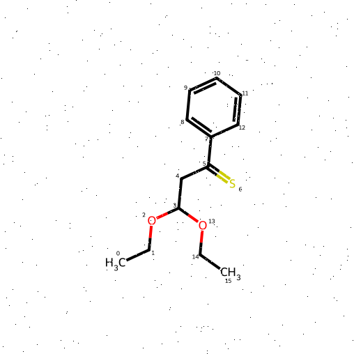 CCOC(CC(=S)c1ccccc1)OCC